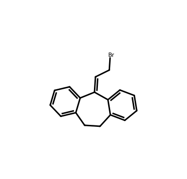 BrCC=C1c2ccccc2CCc2ccccc21